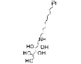 CC(C)CCCCCCCCCCNC[C@H](O)[C@@H](O)[C@H](O)[C@H](O)CO